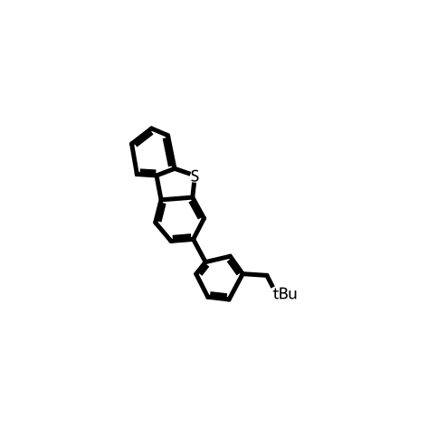 CC(C)(C)Cc1cccc(-c2ccc3c(c2)sc2ccccc23)c1